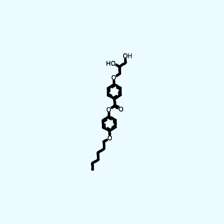 CCCCCCOc1ccc(OC(=O)c2ccc(OCC(O)CO)cc2)cc1